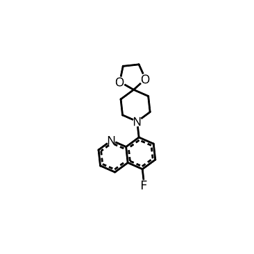 Fc1ccc(N2CCC3(CC2)OCCO3)c2ncccc12